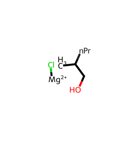 CCCC(C)CO.[Mg+2][Cl]